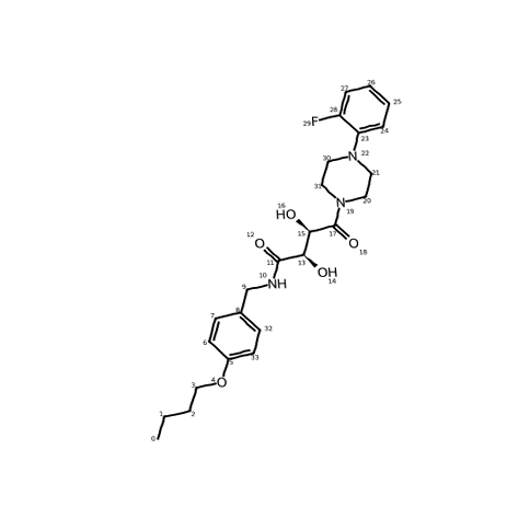 CCCCOc1ccc(CNC(=O)[C@H](O)[C@@H](O)C(=O)N2CCN(c3ccccc3F)CC2)cc1